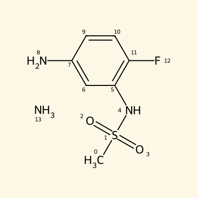 CS(=O)(=O)Nc1cc(N)ccc1F.N